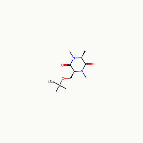 C[C@H]1C(=O)N(C)[C@@H](CO[Si](C)(C)C(C)(C)C)C(=O)N1C